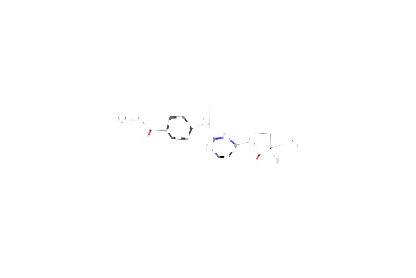 CNC(=O)c1ccc(Nc2nccc(N3CCC(C#N)(C(C)C)C3=O)n2)cc1